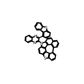 c1cc2c3c(c1)ccc1c3c3c4c(ccc3n1-c1nc3ccccc3nc1-c1cccc3sc5ccccc5c13)sc1cccc-2c14